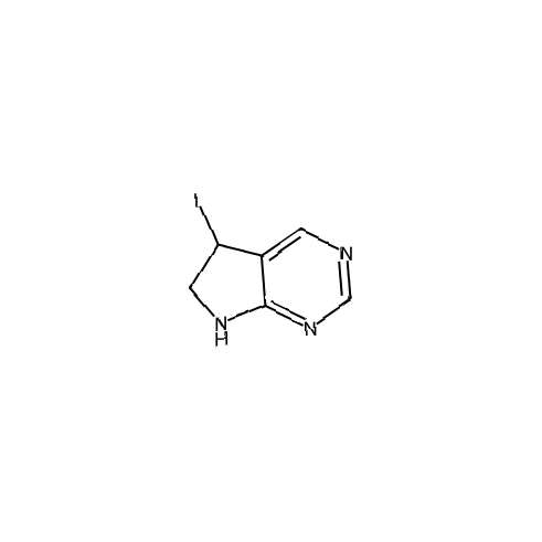 IC1CNc2ncncc21